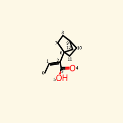 CC=C(C(=O)O)C12CCC(CC1)C2